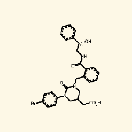 O=C(O)CC1CN(Cc2ccccc2C(=O)NC[C@@H](O)c2ccccc2)C(=O)N(c2ccc(Br)cc2)C1